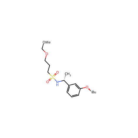 CC[C@H](C)Oc1cccc([C@@H](C)NS(=O)(=O)CCCOCOC)c1